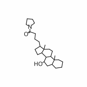 CC12CCC3C(C(O)CC4CCCCC43C)C1CCC2CCCC(=O)N1CCCC1